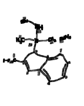 CC1=Cc2ccccc2[CH]1[Ti]([CH3])([CH3])[NH]C(C)(C)C.[SiH4]